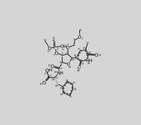 COCCOC1C(OP(O)(=S)OC)C(C(=O)N[C@H](Cc2ccccc2)C(=O)O)OC1n1cc(C)c(=O)[nH]c1=O